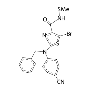 CSNC(=O)c1nc(N(Cc2ccccc2)c2ccc(C#N)cc2)sc1Br